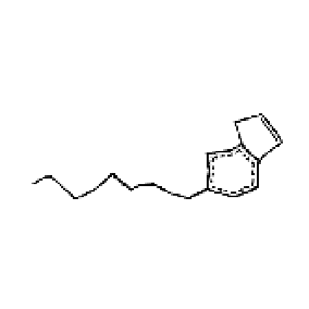 CCCCCCCc1ccc2c(c1)[CH]C=C2